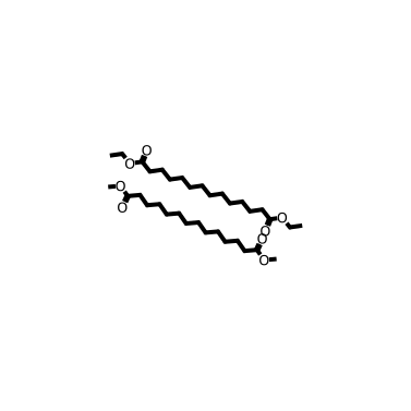 CCOC(=O)CCCCCCCCCCCCC(=O)OCC.COC(=O)CCCCCCCCCCCCC(=O)OC